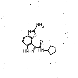 Nc1nc2ccc3[nH]nc(C(=O)NC4CCCC4)c3c2s1